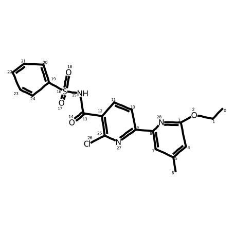 CCOc1cc(C)cc(-c2ccc(C(=O)NS(=O)(=O)c3ccccc3)c(Cl)n2)n1